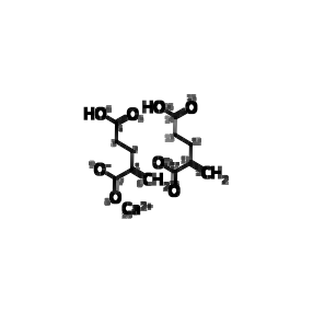 C=C(CCC(=O)O)C(=O)[O-].C=C(CCC(=O)O)C(=O)[O-].[Ca+2]